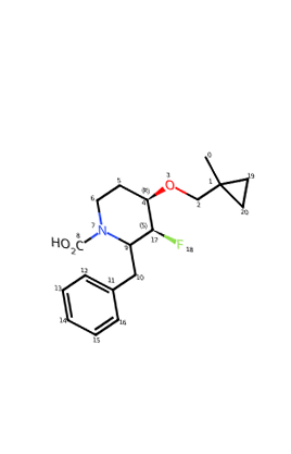 CC1(CO[C@@H]2CCN(C(=O)O)C(Cc3ccccc3)[C@@H]2F)CC1